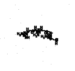 CNc1nc(N)nc(NCCc2cc(Nc3nc(N)nc(NCCc4cc(CN(C)c5nc(N)nc(N(C)CCc6ccc[nH]6)n5)co4)n3)co2)n1